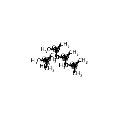 CCCCOC(C[O-])(OCCCC)OCCCC.CCCCOC(C[O-])(OCCCC)OCCCC.CCCCOC(C[O-])(OCCCC)OCCCC.CCCCOC(C[O-])(OCCCC)OCCCC.[Hf+4]